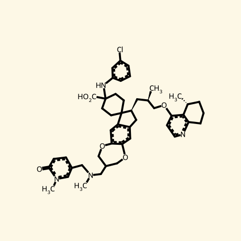 C[C@@H](COc1ccnc2c1[C@H](C)CCC2)C[C@H]1Cc2cc3c(cc2C12CCC(Nc1cccc(Cl)c1)(C(=O)O)CC2)OCC(CN(C)Cc1ccc(=O)n(C)c1)CO3